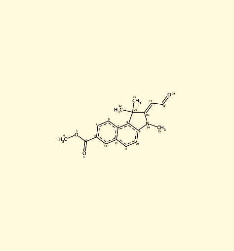 COC(=O)c1ccc2c3c(ccc2c1)N(C)C(=CC=O)C3(C)C